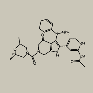 CC(=O)NC1=CC(c2[nH]c3c(c2N(N)C2=CCCC=C2)C(=O)CN(C(=O)N2CC(C)O[C@H](C)C2)C3)=CCN1